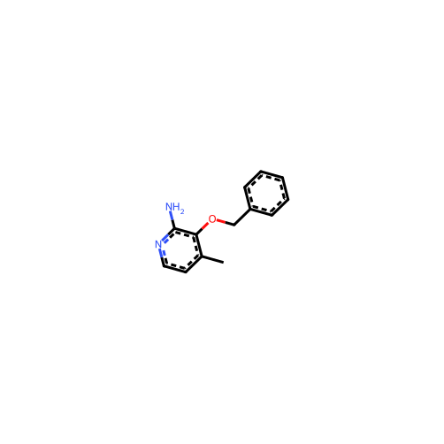 Cc1ccnc(N)c1OCc1ccccc1